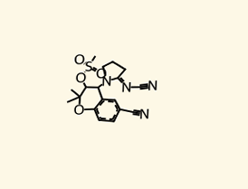 CC1(C)Oc2ccc(C#N)cc2C(N2CCC/C2=N\C#N)C1OS(C)(=O)=O